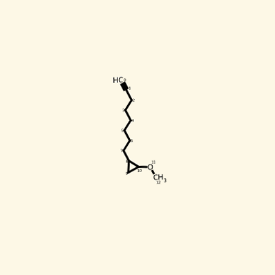 C#CCCCCCCC1CC1OC